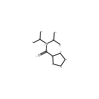 CC(C)N(C(=O)C1CCCC1)C(C)C